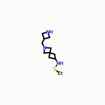 CCSNC1CC2(C1)CN(CC1CNC1)C2